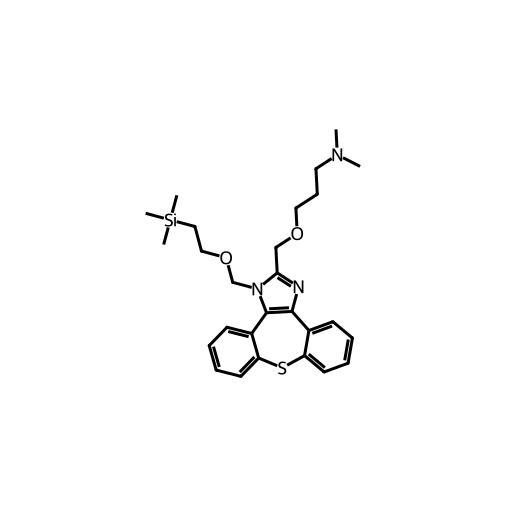 CN(C)CCCOCc1nc2c(n1COCC[Si](C)(C)C)-c1ccccc1Sc1ccccc1-2